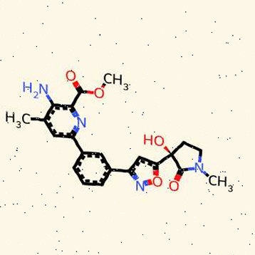 COC(=O)c1nc(-c2cccc(-c3cc([C@]4(O)CCN(C)C4=O)on3)c2)cc(C)c1N